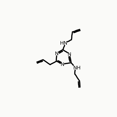 C=CCNc1nc(CC=C)nc(NCC=C)n1